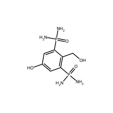 NP(N)(=O)c1cc(O)cc(P(N)(N)=O)c1CO